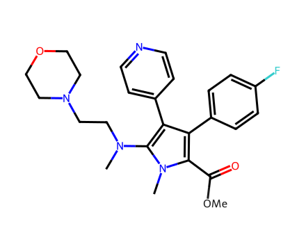 COC(=O)c1c(-c2ccc(F)cc2)c(-c2ccncc2)c(N(C)CCN2CCOCC2)n1C